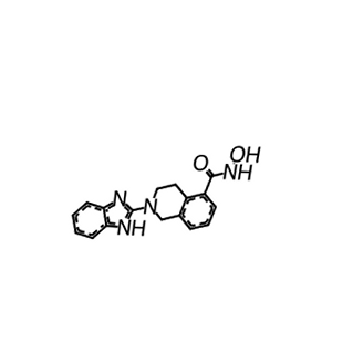 O=C(NO)c1cccc2c1CCN(c1nc3ccccc3[nH]1)C2